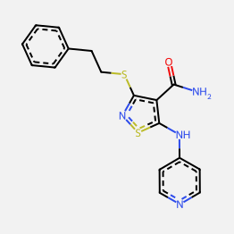 NC(=O)c1c(SCCc2ccccc2)nsc1Nc1ccncc1